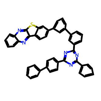 c1ccc(-c2ccc(-c3nc(-c4ccccc4)nc(-c4cccc(-c5cccc(-c6ccc7c(c6)sc6nc8ccccc8nc67)c5)c4)n3)cc2)cc1